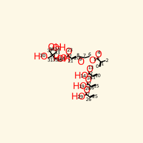 C=C(C)C(=O)OCC1CO1.C=CC(=O)O.C=CC(=O)O.C=CC(=O)O.C=CC(=O)O.OCC(CO)(CO)CO